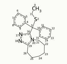 CCSC(c1ccccc1)(c1ccccc1)c1nnc2n1CCCCCC2